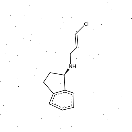 Cl/C=C/CN[C@@H]1CCc2ccccc21